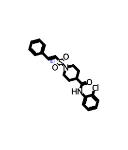 O=C(Nc1ccccc1Cl)C1CCN(S(=O)(=O)/C=C/c2ccccc2)CC1